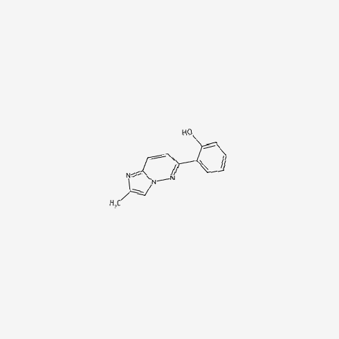 Cc1cn2nc(-c3ccccc3O)ccc2n1